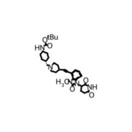 Cn1c(=O)n(C2CCC(=O)NC2=O)c2cccc(C#CC3CCN(C[C@H]4CC[C@H](NC(=O)OC(C)(C)C)CC4)CC3)c21